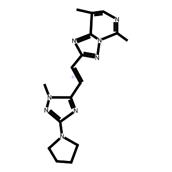 Cc1cnc(C)n2nc(/C=C/c3nc(N4CCCC4)nn3C)nc12